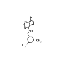 CC1CC(C)CC(CNc2ncnc3[nH]ccc23)C1